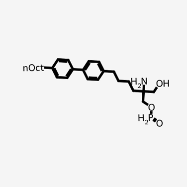 CCCCCCCCc1ccc(-c2ccc(CCCCC(N)(CO)CO[PH2]=O)cc2)cc1